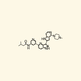 CC(C)CC(=O)Nc1cncc(-c2ccc3[nH]nc(-c4cc5c(N6CCN(C)CC6)nccc5[nH]4)c3n2)c1